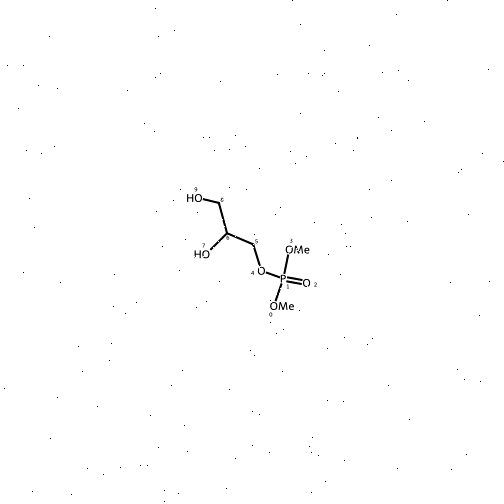 COP(=O)(OC)OCC(O)CO